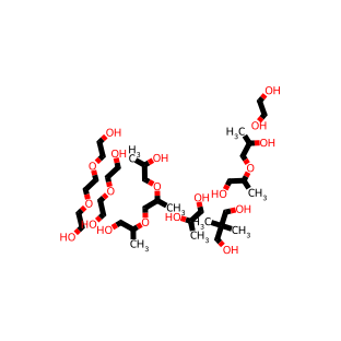 CC(C)(CO)CO.CC(O)CO.CC(O)COC(C)CO.CC(O)COC(C)COC(C)CO.OCCO.OCCOCCO.OCCOCCOCCO